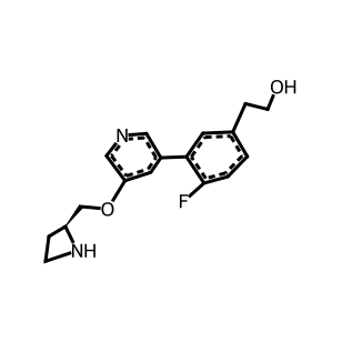 OCCc1ccc(F)c(-c2cncc(OC[C@@H]3CCN3)c2)c1